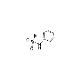 O=S(=O)(Br)Nc1ccccc1